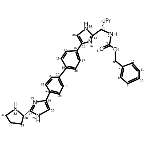 CC(C)[C@H](NC(=O)OCc1ccccc1)c1nc(-c2ccc(-c3ccc(-c4c[nH]c([C@@H]5CCCN5)n4)cc3)cc2)c[nH]1